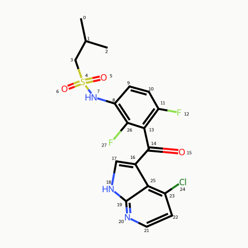 CC(C)CS(=O)(=O)Nc1ccc(F)c(C(=O)c2c[nH]c3nccc(Cl)c23)c1F